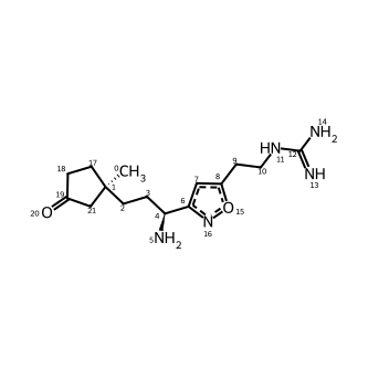 C[C@@]1(CC[C@H](N)c2cc(CCNC(=N)N)on2)CCC(=O)C1